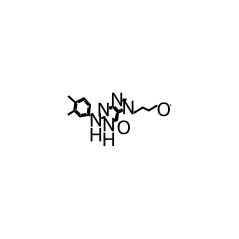 COCCCCn1cnc2nc(Nc3ccc(C)c(C)c3)[nH]c(=O)c21